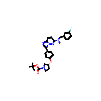 CN(Cc1cccc(F)c1)c1ccc2ncc(-c3ccc(O[C@@H]4CCN(C(=O)OC(C)(C)C)C4)cc3)n2n1